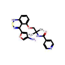 CC(C)(COc1cccc2c1C(c1cc(N)co1)=NSN2)NC(=O)c1ccncc1